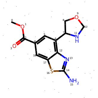 COC(=O)c1cc(C2COCN2)c2nc(N)sc2c1